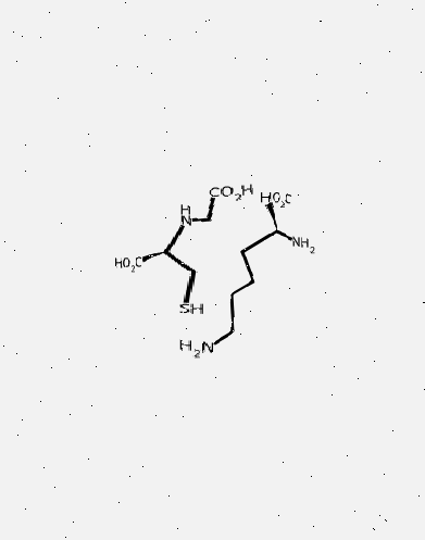 NCCCC[C@H](N)C(=O)O.O=C(O)CN[C@@H](CS)C(=O)O